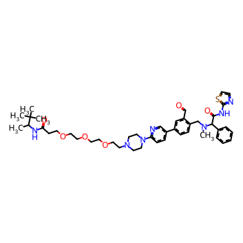 CC(NC(=O)CCOCCOCCOCCN1CCN(c2ccc(-c3ccc(CN(C)C(C(=O)Nc4nccs4)c4ccccc4)c(C=O)c3)cn2)CC1)C(C)(C)C